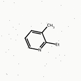 CCc1n[c]ccc1C